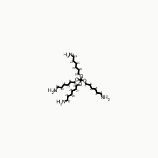 NCCCCCCOC(OCCCCCCN)(OCCCCCCN)OCCCCCCN